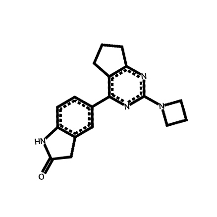 O=C1Cc2cc(-c3nc(N4CCC4)nc4c3CCC4)ccc2N1